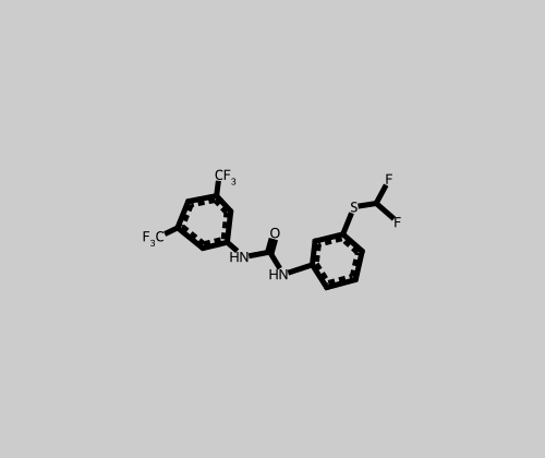 O=C(Nc1cccc(SC(F)F)c1)Nc1cc(C(F)(F)F)cc(C(F)(F)F)c1